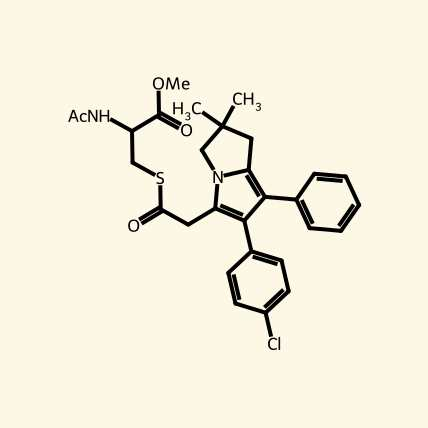 COC(=O)C(CSC(=O)Cc1c(-c2ccc(Cl)cc2)c(-c2ccccc2)c2n1CC(C)(C)C2)NC(C)=O